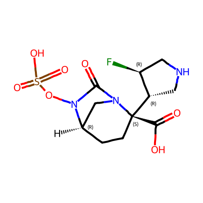 O=C1N(OS(=O)(=O)O)[C@@H]2CC[C@@](C(=O)O)([C@H]3CNC[C@@H]3F)N1C2